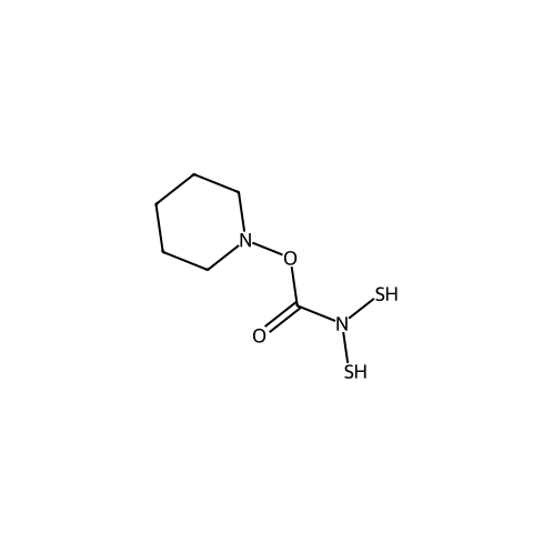 O=C(ON1CCCCC1)N(S)S